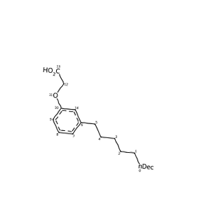 CCCCCCCCCCCCCCCc1cccc(OCC(=O)O)c1